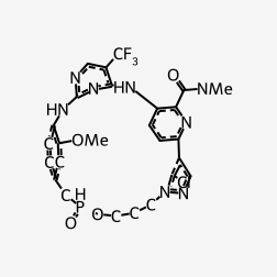 CNC(=O)c1nc2ccc1Nc1nc(ncc1C(F)(F)F)Nc1ccc(cc1OC)C[PH](=O)OCCCn1ncc-2c1Cl